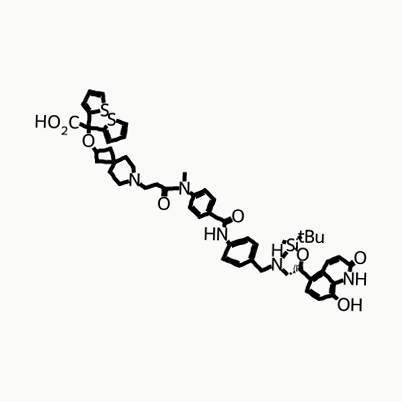 CN(C(=O)CCN1CCC2(CC1)CC(OC(C(=O)O)(c1cccs1)c1cccs1)C2)c1ccc(C(=O)Nc2ccc(CNC[C@H](O[Si](C)(C)C(C)(C)C)c3ccc(O)c4[nH]c(=O)ccc34)cc2)cc1